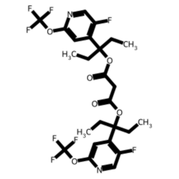 CCC(CC)(OC(=O)CC(=O)OC(CC)(CC)c1cc(OC(F)(F)F)ncc1F)c1cc(OC(F)(F)F)ncc1F